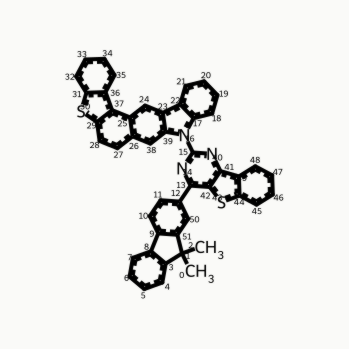 CC1(C)c2ccccc2-c2ccc(-c3nc(-n4c5ccccc5c5cc6c(ccc7sc8ccccc8c76)cc54)nc4c3sc3ccccc34)cc21